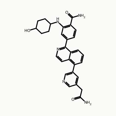 NC(=O)Cc1cncc(-c2cccc3c(-c4ccc(C(N)=O)c(NC5CCC(O)CC5)c4)nccc23)c1